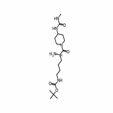 CNC(=O)NC1CCN(C(=O)[C@H](N)CCCCNC(=O)OC(C)(C)C)CC1